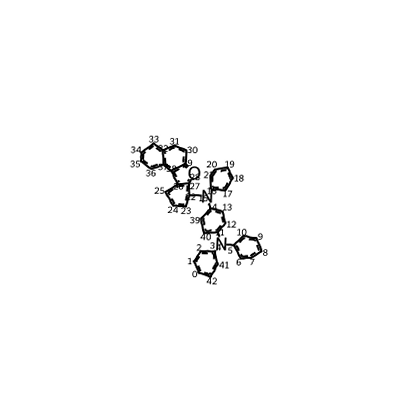 c1ccc(N(c2ccccc2)c2ccc(N(c3ccccc3)c3cccc4c3oc3ccc5ccccc5c34)cc2)cc1